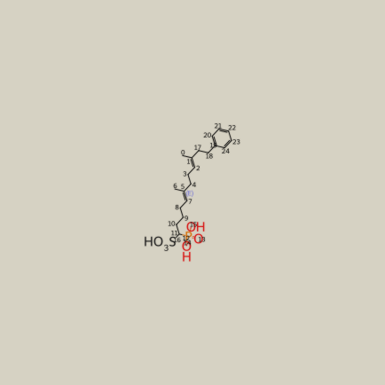 CC(=CCC/C(C)=C/CCCC(P(=O)(O)O)S(=O)(=O)O)CCc1ccccc1